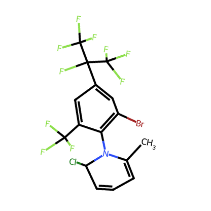 CC1=CC=CC(Cl)N1c1c(Br)cc(C(F)(C(F)(F)F)C(F)(F)F)cc1C(F)(F)F